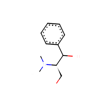 CN(C)[C@H](CO)C(O)c1ccccc1